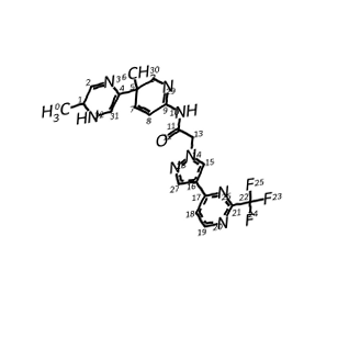 CC1C=NC(C2(C)C=CC(NC(=O)Cn3cc(-c4ccnc(C(F)(F)F)n4)cn3)=NC2)=CN1